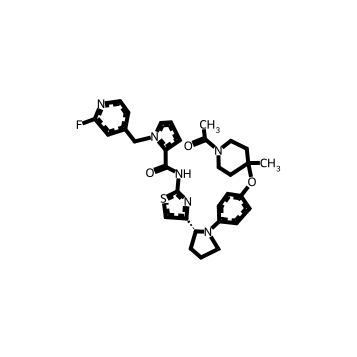 CC(=O)N1CCC(C)(Oc2ccc(N3CCC[C@@H]3c3csc(NC(=O)c4cccn4Cc4ccnc(F)c4)n3)cc2)CC1